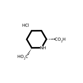 Cl.O=C(O)[C@@H]1CCC[C@H](C(=O)O)N1